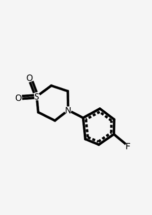 O=S1(=O)CCN(c2ccc(F)cc2)CC1